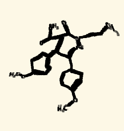 CCCn1nc(-c2ccc(OC)cc2)c(-c2ccc(OC)cc2)c(C(N)=O)c1=O